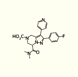 CN(C)C(=O)C1CN(C(=O)O)Cc2c(-c3ccncc3)c(-c3ccc(F)cc3)nn21